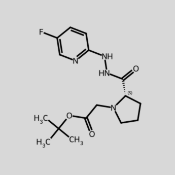 CC(C)(C)OC(=O)CN1CCC[C@H]1C(=O)NNc1ccc(F)cn1